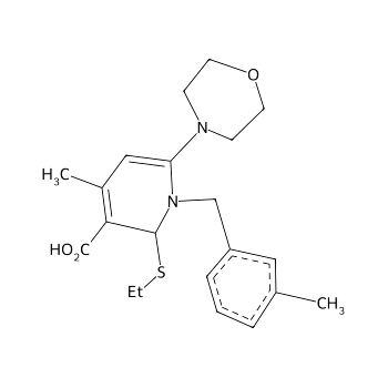 CCSC1C(C(=O)O)=C(C)C=C(N2CCOCC2)N1Cc1cccc(C)c1